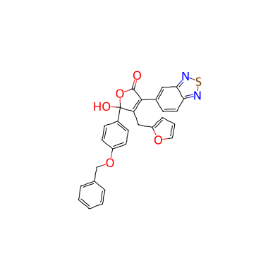 O=C1OC(O)(c2ccc(OCc3ccccc3)cc2)C(Cc2ccco2)=C1c1ccc2nsnc2c1